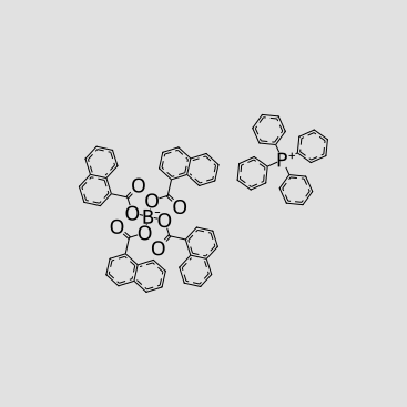 O=C(O[B-](OC(=O)c1cccc2ccccc12)(OC(=O)c1cccc2ccccc12)OC(=O)c1cccc2ccccc12)c1cccc2ccccc12.c1ccc([P+](c2ccccc2)(c2ccccc2)c2ccccc2)cc1